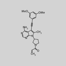 C=CC(=O)N1CCC(n2c(C)c(C#Cc3cc(OC)cc(OC)c3)c3c(N)ncnc32)C1